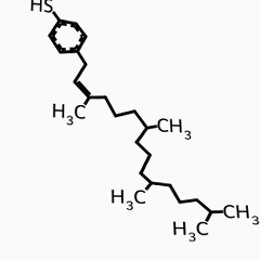 CC(=CCc1ccc(S)cc1)CCCC(C)CCCC(C)CCCC(C)C